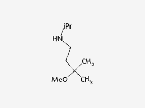 COC(C)(C)CCNC(C)C